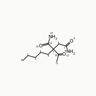 CCCCCC(CC(N)=O)(C(C)=O)C(N)=O